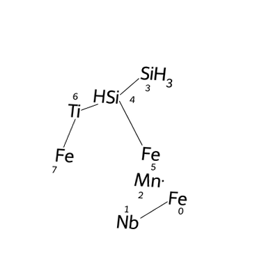 [Fe][Nb].[Mn].[SiH3][SiH]([Fe])[Ti][Fe]